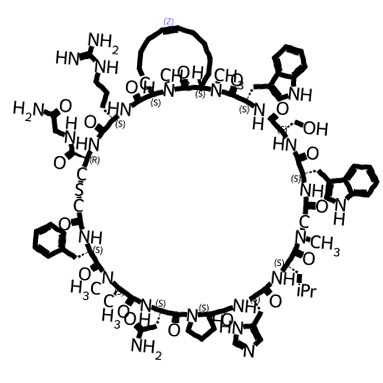 CC(C)C[C@@H]1NC(=O)[C@H](Cc2cnc[nH]2)NC(=O)[C@@H]2CCCN2C(=O)[C@H](CC(N)=O)NC(=O)[C@H](C)N(C)C(=O)[C@H](Cc2ccccc2)NC(=O)CSC[C@@H](C(=O)NCC(N)=O)NC(=O)[C@H](CCCNC(=N)N)NC(=O)[C@@H]2CCCC/C=C\CCCC[C@@H](C(=O)N2C)N(C)C(=O)[C@H](Cc2c[nH]c3ccccc23)NC(=O)[C@H](CO)NC(=O)[C@H](Cc2c[nH]c3ccccc23)NC(=O)CN(C)C1=O